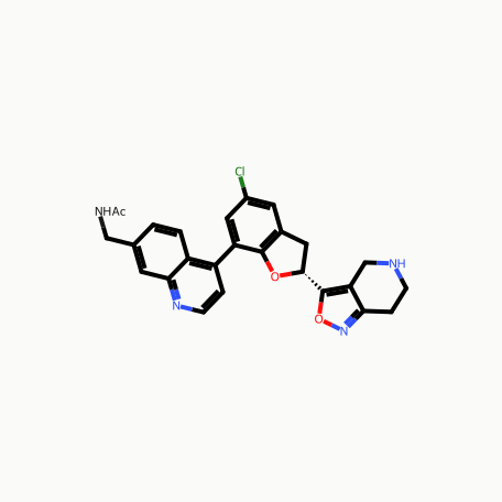 CC(=O)NCc1ccc2c(-c3cc(Cl)cc4c3O[C@@H](c3onc5c3CNCC5)C4)ccnc2c1